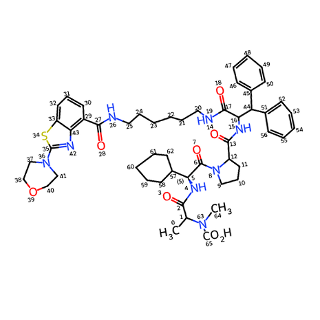 CC(C(=O)N[C@H](C(=O)N1CCCC1C(=O)NC(C(=O)NCCCCCCNC(=O)c1cccc2sc(N3CCOCC3)nc12)C(c1ccccc1)c1ccccc1)C1CCCCC1)N(C)C(=O)O